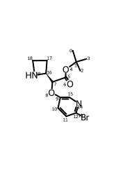 CC(C)(C)OC(=O)C(Oc1ccc(Br)nc1)[C@@H]1CCN1